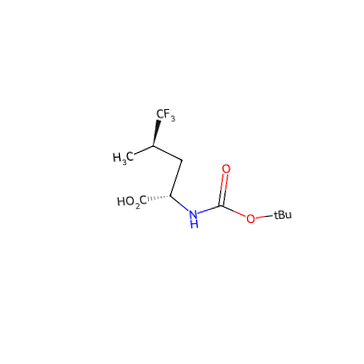 C[C@H](C[C@H](NC(=O)OC(C)(C)C)C(=O)O)C(F)(F)F